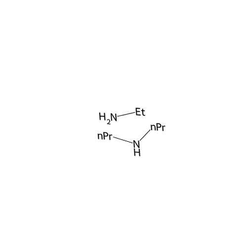 CCCNCCC.CCN